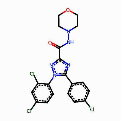 O=C(NN1CCOCC1)c1nc(-c2ccc(Cl)cc2)n(-c2ccc(Cl)cc2Cl)n1